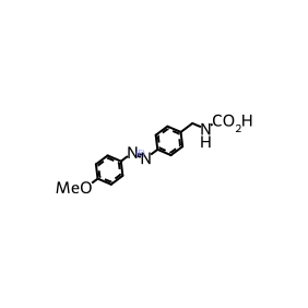 COc1ccc(/N=N/c2ccc(CNC(=O)O)cc2)cc1